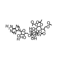 CC(=O)OCC(C)C(OC(C)=O)C(OC(C)=O)C(OC(C)=O)C(O)OP(=O)(O)OP(=O)(O)OCC1OC(n2cnc3c(N)ncnc32)C(O)C1O